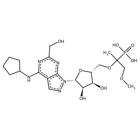 COCC(C)(OC[C@H]1O[C@@H](n2ncc3c(NC4CCCC4)nc(CO)nc32)[C@H](O)[C@@H]1O)P(=O)(O)O